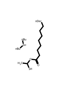 CCCCCCCCCCCCCCCCCC(=O)OC(C)S.CCC[CH2][Sn][CH2]CCC